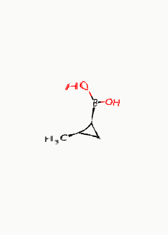 C[C@@H]1C[C@@H]1B(O)O